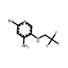 Nc1cc(Br)ncc1NCC(F)(F)F